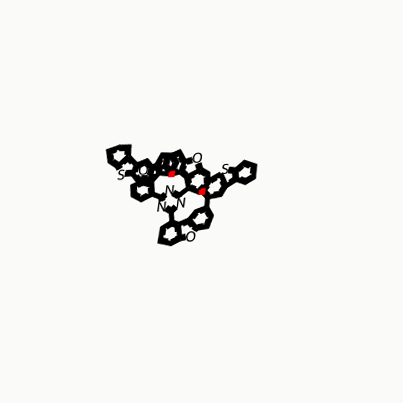 c1ccc2c(c1)oc1cccc(-c3nc(-c4cccc5oc6ccc(-c7ccc8sc9ccccc9c8c7)cc6c45)nc(-c4cccc5oc6ccc(-c7ccc8sc9ccccc9c8c7)cc6c45)n3)c12